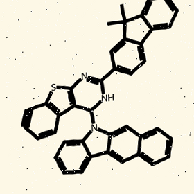 CC1(C)c2ccccc2-c2ccc(C3=Nc4sc5c#cccc5c4C(n4c5ccccc5c5cc6ccccc6cc54)N3)cc21